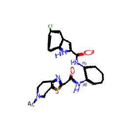 CC(=O)N1CCc2nc(C(=O)N[C@@H]3CCCC[C@@H]3NC(=O)C3=CC4C=C(Cl)C=CC4N3)sc2C1